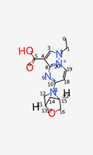 CCn1cc(C(=O)O)c2nc(N3C[C@H]4C[C@@H]3CO4)cc[n+]21